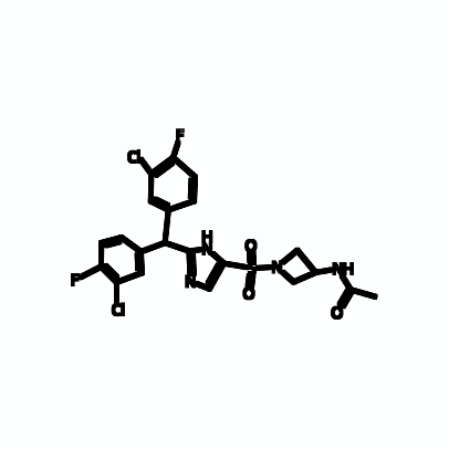 CC(=O)NC1CN(S(=O)(=O)c2cnc(C(c3ccc(F)c(Cl)c3)c3ccc(F)c(Cl)c3)[nH]2)C1